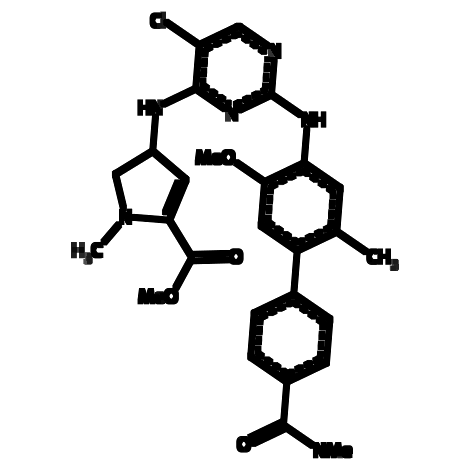 CNC(=O)c1ccc(-c2cc(OC)c(Nc3ncc(Cl)c(NC4C=C(C(=O)OC)N(C)C4)n3)cc2C)cc1